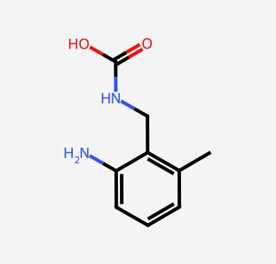 Cc1cccc(N)c1CNC(=O)O